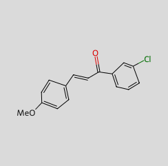 COc1ccc(C=CC(=O)c2cccc(Cl)c2)cc1